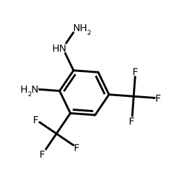 NNc1cc(C(F)(F)F)cc(C(F)(F)F)c1N